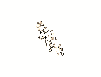 CN(c1ccc2c(c1N)CN(C1CCC(=O)NC1=O)C2=O)[C@@H]1CCCC[C@@H]1NC1CCC(F)(F)CC1